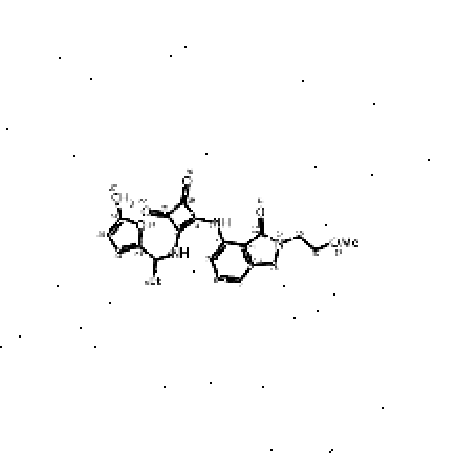 CCC(Nc1c(Nc2cccc3c2C(=O)N(CCOC)C3)c(=O)c1=O)c1ccc(C)o1